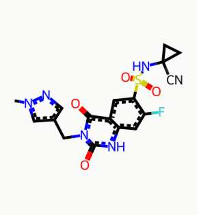 Cn1cc(Cn2c(=O)[nH]c3cc(F)c(S(=O)(=O)NC4(C#N)CC4)cc3c2=O)cn1